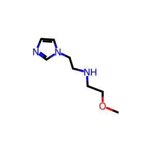 COCCNCCn1ccnc1